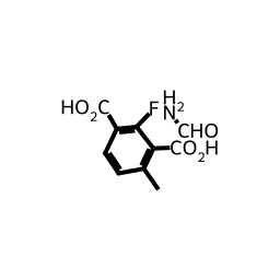 Cc1ccc(C(=O)O)c(F)c1C(=O)O.NC=O